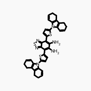 Nc1c(N)c(-c2ccc(-n3c4c(c5c3C=CCC5)CCC=C4)s2)c2nsnc2c1-c1ccc(-n2c3c(c4c2C=CCC4)CCC=C3)s1